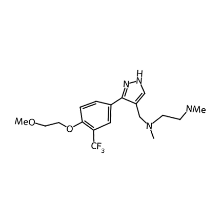 CNCCN(C)Cc1c[nH]nc1-c1ccc(OCCOC)c(C(F)(F)F)c1